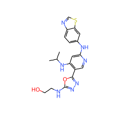 CC(C)Nc1cc(Nc2ccc3ncsc3c2)ncc1-c1nnc(NCCO)o1